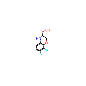 OCC1COc2c(ccc(F)c2F)N1